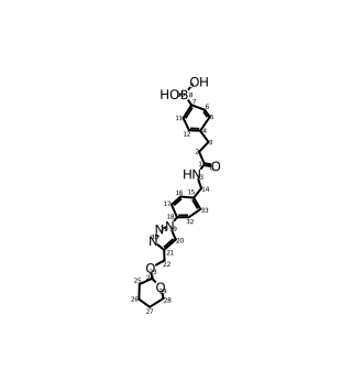 O=C(CCc1ccc(B(O)O)cc1)NCc1ccc(-n2cc(COC3CCCCO3)nn2)cc1